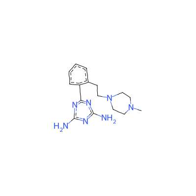 CN1CCN(CCc2ccccc2-c2nc(N)nc(N)n2)CC1